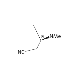 CN[C@H](C)CC#N